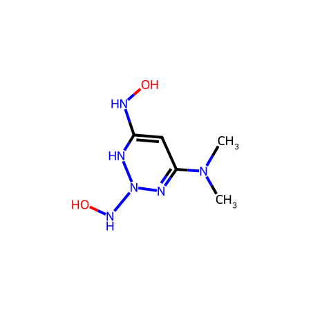 CN(C)C1=NN(NO)NC(NO)=C1